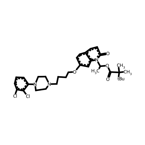 CC(OC(=O)C(C)(C)C(C)(C)C)n1c(=O)ccc2ccc(OCCCCN3CCN(c4cccc(Cl)c4Cl)CC3)cc21